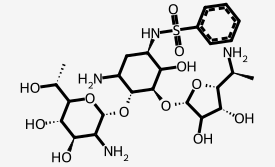 C[C@H](N)[C@H]1O[C@@H](O[C@@H]2C(O)[C@H](NS(=O)(=O)c3ccccc3)CC(N)[C@H]2O[C@H]2OC([C@@H](C)O)[C@@H](O)[C@H](O)C2N)C(O)[C@H]1O